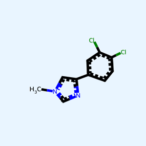 Cn1[c]nc(-c2ccc(Cl)c(Cl)c2)c1